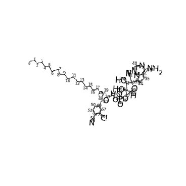 CCCCCCCCCCCCCCCCCCOC[C@H](COP(=O)(O)OC1[C@H]2O[C@@](C#N)(c3ccc4c(N)ncnn34)[C@H](O)[C@@]12O)OCc1ccc(C#N)c(Cl)c1